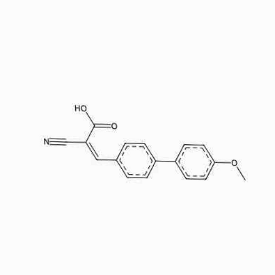 COc1ccc(-c2ccc(C=C(C#N)C(=O)O)cc2)cc1